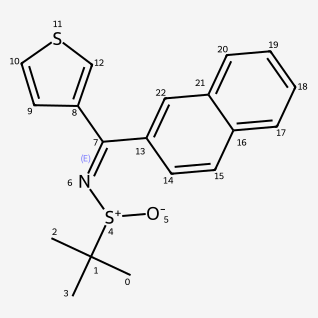 CC(C)(C)[S+]([O-])/N=C(/c1ccsc1)c1ccc2ccccc2c1